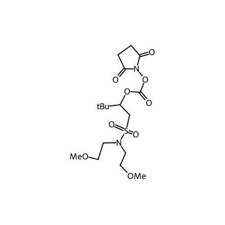 COCCN(CCOC)S(=O)(=O)CC(OC(=O)ON1C(=O)CCC1=O)C(C)(C)C